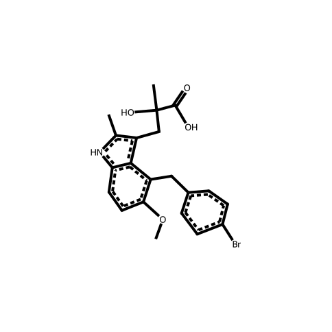 COc1ccc2[nH]c(C)c(CC(C)(O)C(=O)O)c2c1Cc1ccc(Br)cc1